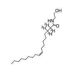 [2H]C([2H])(CCCCC/C=C\CCCCCCCC)C([2H])([2H])C(=O)NCCO